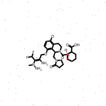 CN(N)/C(=C(\N)COc1ccc(Cl)c2c1C(CN1CCCC1=O)N(C(=O)[C@@H]1CC3CCC1(C(=O)O)CC3)CC2)C(F)F